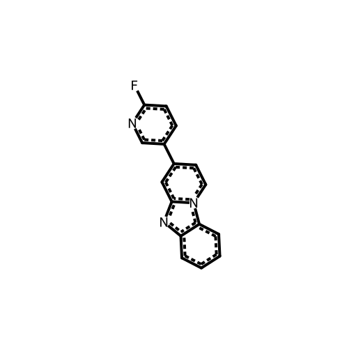 Fc1ccc(-c2ccn3c(c2)nc2ccccc23)cn1